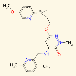 COc1ccc([C@@H]2CC2COc2cc(NCc3nc(C)ccc3C)c(=O)n(C)n2)nc1